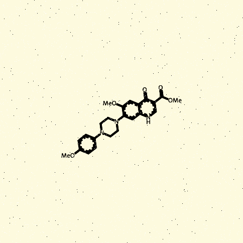 COC(=O)c1c[nH]c2cc(N3CCN(c4ccc(OC)cc4)CC3)c(OC)cc2c1=O